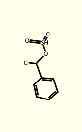 O=[SH](=O)O[C](Cl)c1ccccc1